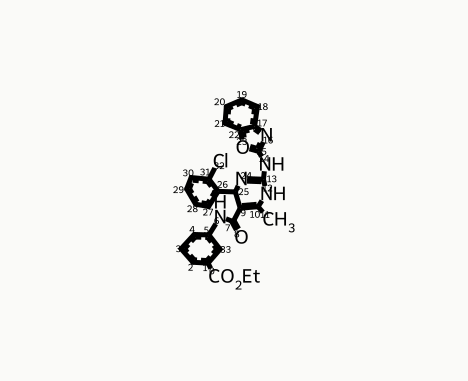 CCOC(=O)c1cccc(NC(=O)C2=C(C)NC(Nc3nc4ccccc4o3)=NC2c2ccccc2Cl)c1